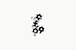 Cc1ccccc1[C@@H]1CNCC[C@@H]1N(C)C(=O)C(C)(C)COc1ncccc1C(F)(F)F